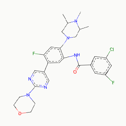 CC1CN(c2cc(F)c(-c3cnc(N4CCOCC4)nc3)cc2NC(=O)c2cc(F)cc(Cl)c2)CC(C)N1C